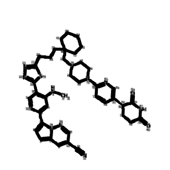 CNc1cc(-c2ccc3cc(C#N)cnn23)ncc1-c1nnc(CCCC2(CN3CCN(c4ccc([C@@H]5CCC(=O)NC5=O)cn4)CC3)CCCCC2)s1